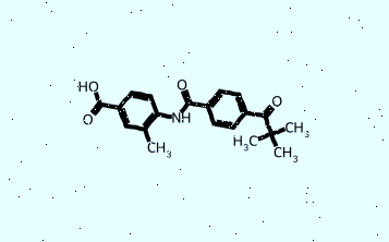 Cc1cc(C(=O)O)ccc1NC(=O)c1ccc(C(=O)C(C)(C)C)cc1